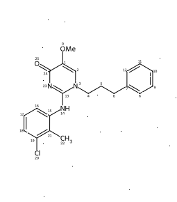 COc1cn(CCCc2ccccc2)c(Nc2cccc(Cl)c2C)nc1=O